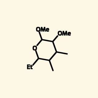 CCC1OC(OC)C(OC)C(C)C1C